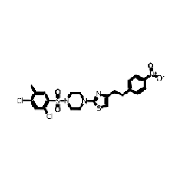 Cc1cc(S(=O)(=O)N2CCN(c3nc(CCc4ccc([N+](=O)[O-])cc4)cs3)CC2)c(Cl)cc1Cl